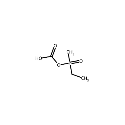 CCP(C)(=O)OC(=O)O